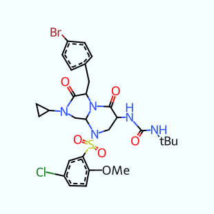 COc1ccc(Cl)cc1S(=O)(=O)N1CC(NC(=O)NC(C)(C)C)C(=O)N2C(Cc3ccc(Br)cc3)C(=O)N(C3CC3)CC21